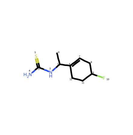 CC(NC(N)=S)C1=CCC(F)CC1